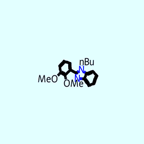 CCCCn1c(-c2cccc(OC)c2OC)nc2ccccc21